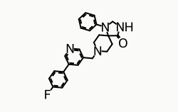 O=C1NCN(c2ccccc2)C12CCN(Cc1cncc(-c3ccc(F)cc3)c1)CC2